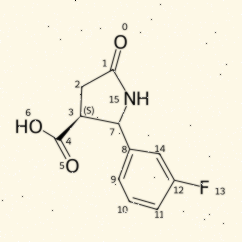 O=C1C[C@H](C(=O)O)C(c2cccc(F)c2)N1